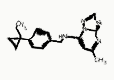 Cc1cc(NCc2ccc(C3(C)CC3)cc2)n2ncnc2n1